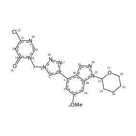 COc1cc(-c2cn(Cn3cnc(Cl)cc3=O)nn2)c2cnn(C3CCCCO3)c2c1